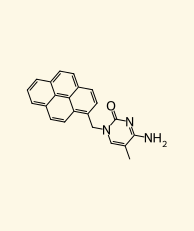 Cc1cn(Cc2ccc3ccc4cccc5ccc2c3c45)c(=O)nc1N